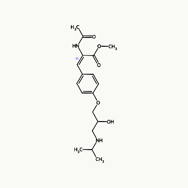 COC(=O)/C(=C\c1ccc(OCC(O)CNC(C)C)cc1)NC(C)=O